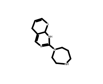 C1=CSC2NC(N3CCCNCC3)=NC=C2C1